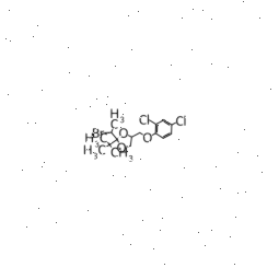 CC(Br)C1(C(C)(C)C)OCC(COc2ccc(Cl)cc2Cl)O1